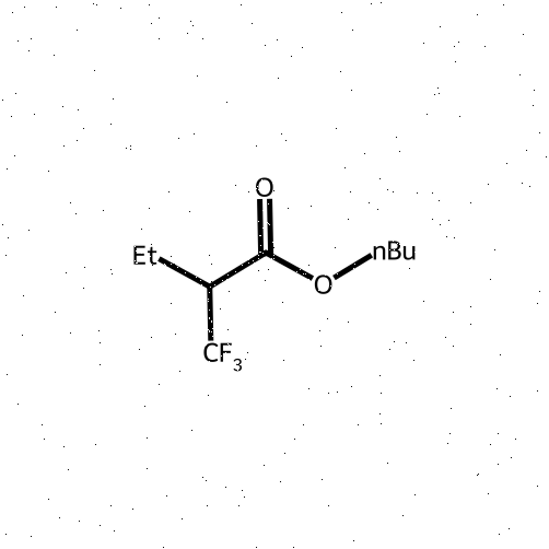 CCCCOC(=O)C(CC)C(F)(F)F